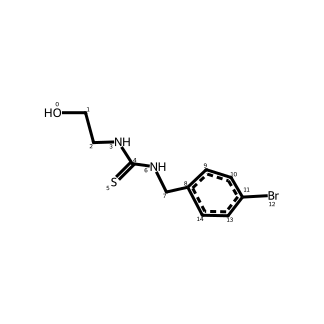 OCCNC(=S)NCc1ccc(Br)cc1